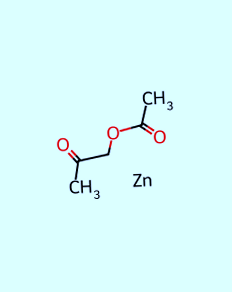 CC(=O)COC(C)=O.[Zn]